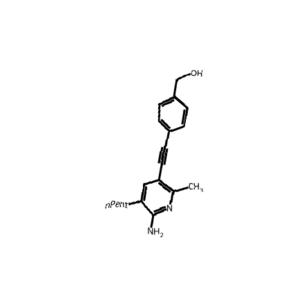 CCCCCc1cc(C#Cc2ccc(CO)cc2)c(C)nc1N